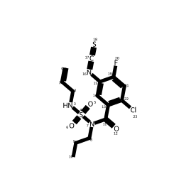 C=CCNS(=O)(=O)N(CCC)C(=O)c1cc(N=C=S)c(F)cc1Cl